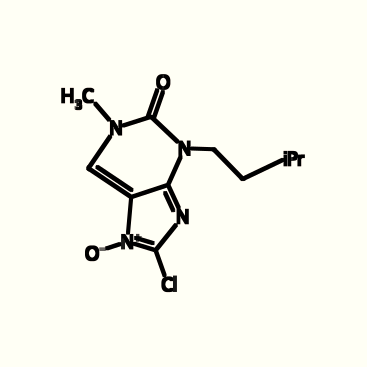 CC(C)CCn1c2nc(Cl)[n+]([O-])c-2cn(C)c1=O